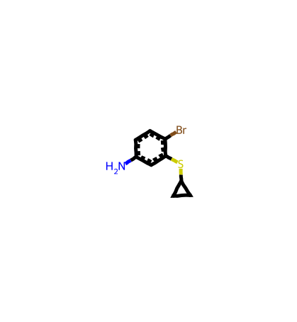 Nc1ccc(Br)c(SC2CC2)c1